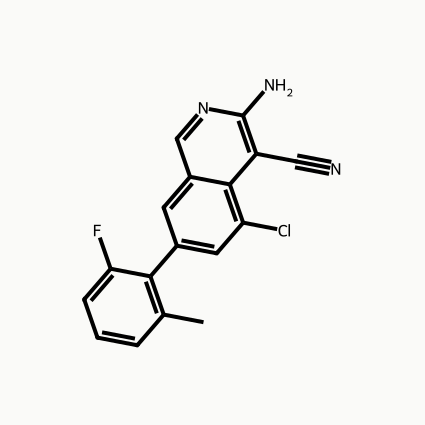 Cc1cccc(F)c1-c1cc(Cl)c2c(C#N)c(N)ncc2c1